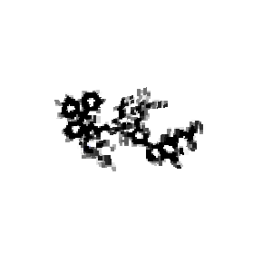 CC(C)C(=O)Nc1nc2c(ncn2C2CC(NP(=S)(OCCC#N)OCC3OC(/N=C\N(C)C)CC3NC(c3ccccc3)(c3ccccc3)c3ccccc3)C(CO[Si](C)(C)C(C)(C)C)O2)c(=O)[nH]1